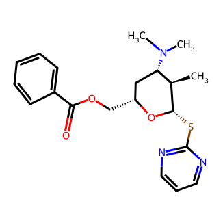 C[C@H]1[C@H](Sc2ncccn2)O[C@H](COC(=O)c2ccccc2)C[C@@H]1N(C)C